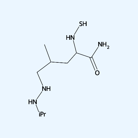 CC(CNNC(C)C)CC(NS)C(N)=O